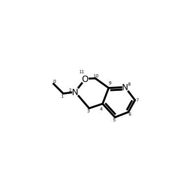 CCN1Cc2cccnc2CO1